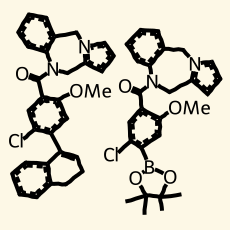 COc1cc(B2OC(C)(C)C(C)(C)O2)c(Cl)cc1C(=O)N1Cc2cccn2Cc2ccccc21.COc1cc(C2=CCCc3ccccc32)c(Cl)cc1C(=O)N1Cc2cccn2Cc2ccccc21